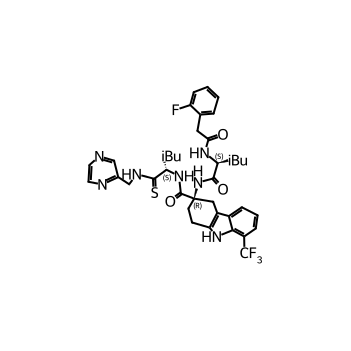 CCC(C)[C@H](NC(=O)Cc1ccccc1F)C(=O)N[C@]1(C(=O)N[C@H](C(=S)NCc2cnccn2)C(C)CC)CCc2[nH]c3c(C(F)(F)F)cccc3c2C1